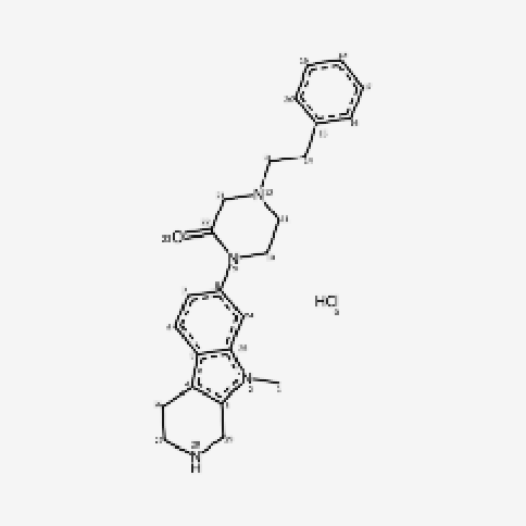 Cl.Cn1c2c(c3ccc(N4CCN(CCc5ccccc5)CC4=O)cc31)CCNC2